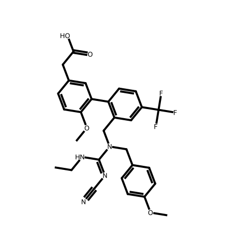 CCNC(=NC#N)N(Cc1ccc(OC)cc1)Cc1cc(C(F)(F)F)ccc1-c1cc(CC(=O)O)ccc1OC